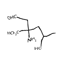 CC(O)CC(N)(CC=O)C(=O)O